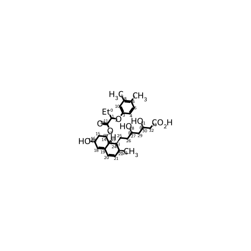 CCC(Oc1ccc(C)c(C)c1)C(=O)O[C@H]1C[C@H](O)C=C2C=C[C@H](C)[C@H](CC[C@@H](O)C[C@@H](O)CC(=O)O)[C@H]21